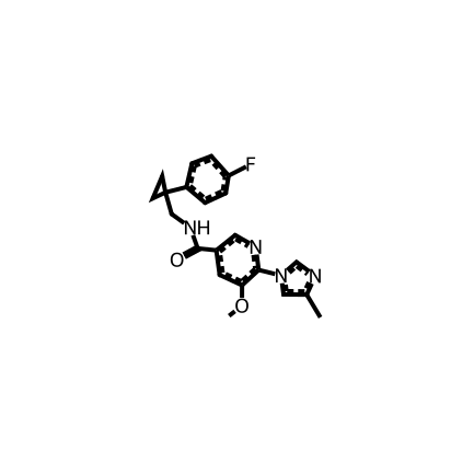 COc1cc(C(=O)NCC2(c3ccc(F)cc3)CC2)cnc1-n1cnc(C)c1